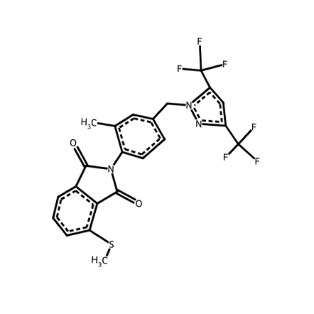 CSc1cccc2c1C(=O)N(c1ccc(Cn3nc(C(F)(F)F)cc3C(F)(F)F)cc1C)C2=O